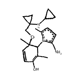 CC1=C(O)C=CC(C)(OCC2(NC3CC3)CC2)C1n1c(C)ccc1N